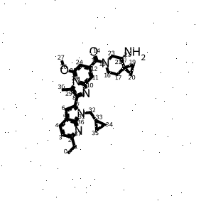 CCc1ccc2cc(-c3nc4cc(C(=O)N5CCC6(CC6)[C@@H](N)C5)cc(OC)n4c3C)n(CC3CC3)c2n1